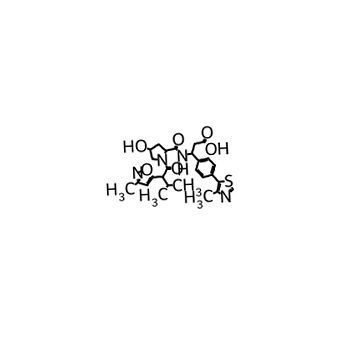 Cc1cc(C(C(=O)N2CC(O)CC2C(=O)NC(CC(=O)O)c2ccc(-c3scnc3C)cc2)C(C)C)on1